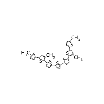 Cc1ccc(-c2cc(C)c(-c3ccc(-c4ccc(-c5ccc(-c6sc(-c7ccc(C)s7)cc6C)s5)s4)s3)s2)s1